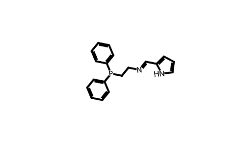 C(=N\CCP(c1ccccc1)c1ccccc1)/c1ccc[nH]1